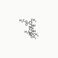 CCOC(=O)c1cc(C)cc(Nc2nccc(Nc3c(C)c(C)nn3C)n2)c1